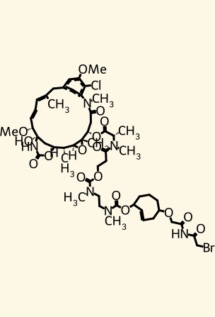 COc1cc2cc(c1Cl)N(C)C(=O)C[C@H](OC(=O)[C@H](C)N(C)C(=O)CCOC(=O)N(C)CCN(C)C(=O)OC1/C=C/CC(OCC(=O)NC(=O)CBr)CCC1)[C@]1(C)O[C@H]1[C@H](C)[C@@H]1C[C@@](O)(NC(=O)O1)[C@H](OC)/C=C/C=C(\C)C2